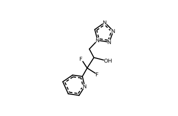 OC(Cn1cnnn1)C(F)(F)c1ccccn1